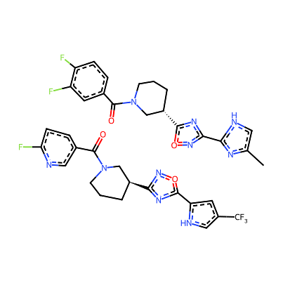 Cc1c[nH]c(-c2noc([C@H]3CCCN(C(=O)c4ccc(F)c(F)c4)C3)n2)n1.O=C(c1ccc(F)nc1)N1CCC[C@H](c2noc(-c3cc(C(F)(F)F)c[nH]3)n2)C1